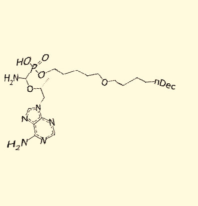 CCCCCCCCCCCCCCOCCCCCOP(=O)(O)C(N)O[C@H](C)Cn1cnc2c(N)ncnc21